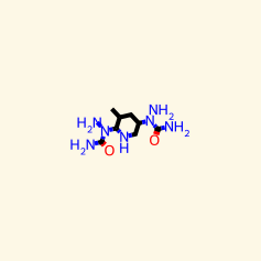 CC1CC(N(N)C(N)=O)CNC1N(N)C(N)=O